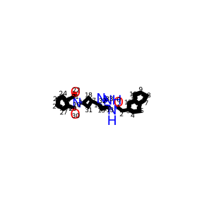 O=C(Cc1ccc2ccccc2c1)Nc1cc(C2CC(N3C(=O)c4ccccc4C3=O)C2)n[nH]1